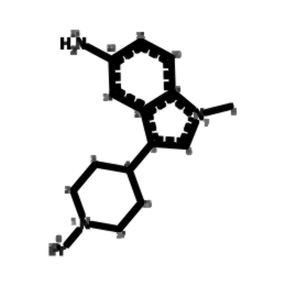 CC(C)N1CCC(c2cn(C)c3ccc(N)cc23)CC1